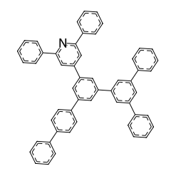 c1ccc(-c2ccc(-c3cc(-c4cc(-c5ccccc5)cc(-c5ccccc5)c4)cc(-c4cc(-c5ccccc5)nc(-c5ccccc5)c4)c3)cc2)cc1